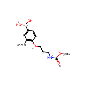 COc1cc(B(O)O)ccc1OCCCNC(=O)OC(C)(C)C